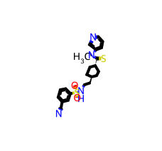 CN(c1cccnc1)C(=S)[C@H]1CC[C@H](CCNS(=O)(=O)c2cccc(C#N)c2)CC1